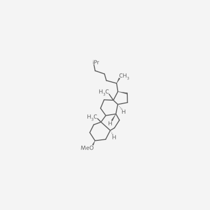 CO[C@H]1CCC2(C)C3CCC4(C)[C@@H]([C@H](C)CCCC(C)C)CC[C@H]4[C@@H]3CC[C@H]2C1